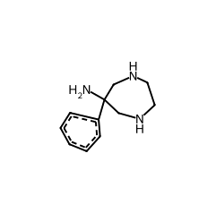 NC1(c2ccccc2)CNCCNC1